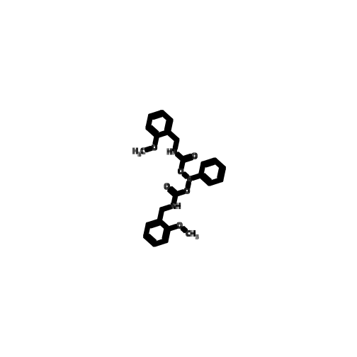 COc1ccccc1CNC(=O)OB(OC(=O)NCc1ccccc1OC)c1ccccc1